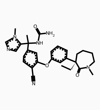 CC[C@]1(c2cccc(Oc3cc(C(C)(NC(N)=O)c4cncn4C)ccc3C#N)c2)CCCCN(C)C1=O